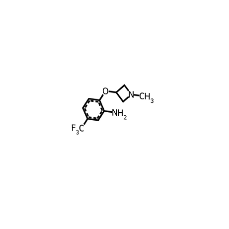 CN1CC(Oc2ccc(C(F)(F)F)cc2N)C1